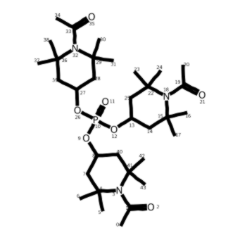 CC(=O)N1C(C)(C)CC(OP(=O)(OC2CC(C)(C)N(C(C)=O)C(C)(C)C2)OC2CC(C)(C)N(C(C)=O)C(C)(C)C2)CC1(C)C